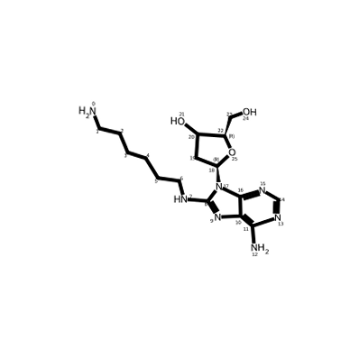 NCCCCCCNc1nc2c(N)ncnc2n1[C@H]1CC(O)[C@@H](CO)O1